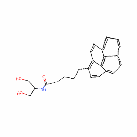 O=C(CCCCc1ccc2ccc3cccc4ccc1c2c34)NC(CO)CO